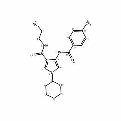 N#CCCNC(=O)c1nn(C2CCCCO2)cc1NC(=O)c1ccc(C(F)(F)F)cc1